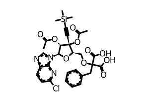 CC(=O)O[C@H]1[C@H](n2cnc3ccc(Cl)nc32)O[C@H](COC(Cc2ccccc2)(C(=O)O)C(=O)O)[C@@]1(C#C[Si](C)(C)C)OC(C)=O